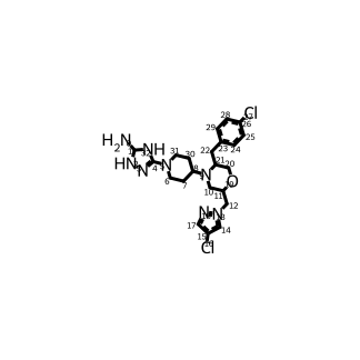 NC1NN=C(N2CCC(N3CC(Cn4cc(Cl)cn4)OCC3Cc3ccc(Cl)cc3)CC2)N1